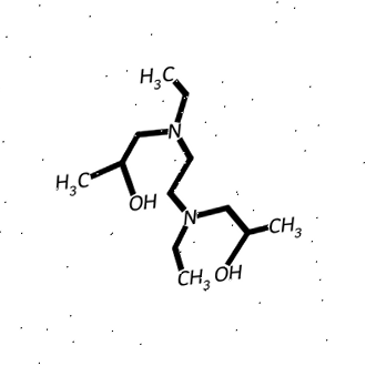 CCN(CCN(CC)CC(C)O)CC(C)O